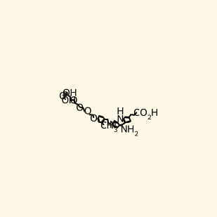 Cc1cc(OCCOCCOCCOCCP(=O)(O)O)ccc1CCN1C=CC2=C(N)c3ccc(CCC(=O)O)cc3NC2=C1